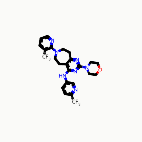 FC(F)(F)c1ccc(Nc2nc(N3CCOCC3)nc3c2CCN(c2ncccc2C(F)(F)F)CC3)cn1